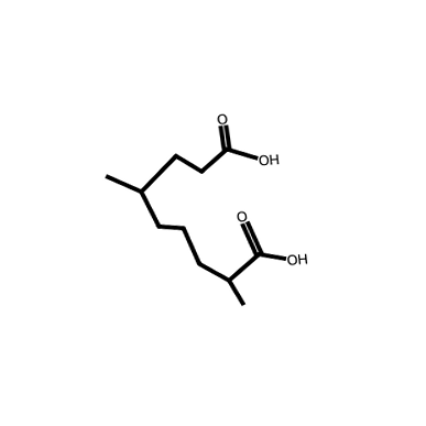 CC(CCCC(C)C(=O)O)CCC(=O)O